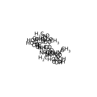 C=C1C[C@H]2C(O)N(C(=O)OCc3ccc(O[C@@H]4O[C@H](C(=O)O)[C@@H](O)[C@H](O)[C@H]4O)c(C(=O)NCCCN)c3)c3cc(OCCCOc4cc5c(cc4OC)C(=O)N4CC(=C)C[C@H]4C(O)N5C(=O)OCc4ccc(O[C@@H]5O[C@H](C(=O)O)[C@@H](O)[C@H](O)[C@H]5O)c(C(=O)NCCOC)c4)c(OC)cc3C(=O)N2C1